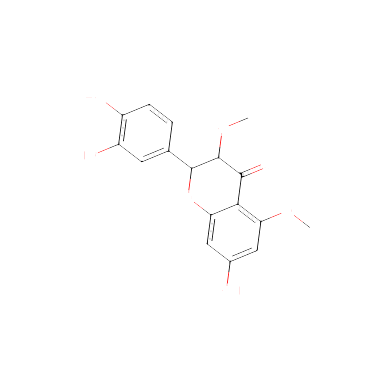 COc1cc(O)cc2c1C(=O)C(OC)C(c1ccc(O)c(O)c1)O2